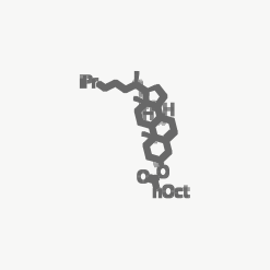 CCCCCCCCC(=O)O[C@H]1CC[C@@]2(C)C(=CC[C@@H]3C2CC[C@]2(C)[C@@H]([C@H](C)CCCC(C)C)CC[C@@H]32)C1